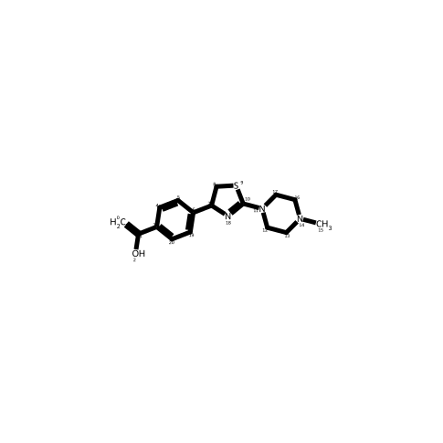 C=C(O)c1ccc(C2CSC(N3CCN(C)CC3)=N2)cc1